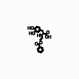 O=C(OCCN[C@@H](Cc1ccc(O)c(O)c1)C(=O)O)c1ccccc1